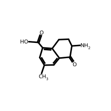 Cc1cc(C(=O)O)c2c(c1)C(=O)C(N)CC2